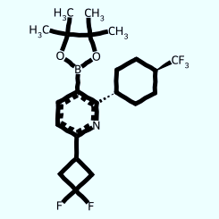 CC1(C)OB(c2ccc(C3CC(F)(F)C3)nc2[C@H]2CC[C@H](C(F)(F)F)CC2)OC1(C)C